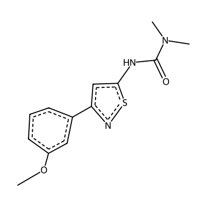 COc1cccc(-c2cc(NC(=O)N(C)C)sn2)c1